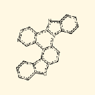 c1ccc2c(c1)nc1c3ccncc3c3c4c(ccc3n21)oc1ccccc14